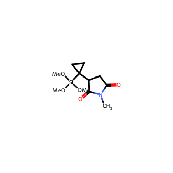 CO[Si](OC)(OC)C1(C2CC(=O)N(C)C2=O)CC1